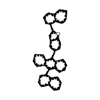 c1ccc2c(-c3cc4cc(-c5c6ccccc6c(-c6cccc7ccccc67)c6ccccc56)ccc4o3)cccc2c1